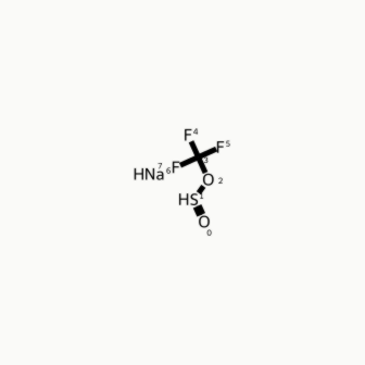 O=[SH]OC(F)(F)F.[NaH]